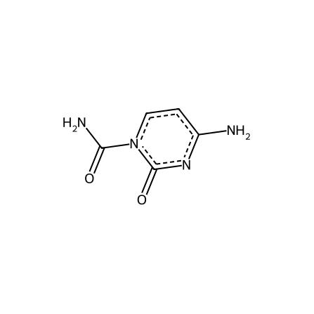 NC(=O)n1ccc(N)nc1=O